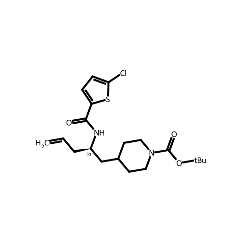 C=CC[C@H](CC1CCN(C(=O)OC(C)(C)C)CC1)NC(=O)c1ccc(Cl)s1